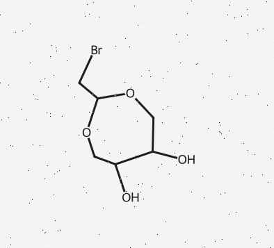 OC1COC(CBr)OCC1O